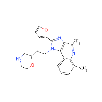 Cc1cccc2c1nc(C(F)(F)F)c1nc(-c3ccco3)n(CCC3CNCCO3)c12